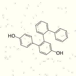 Oc1ccc(-c2ccc(O)cc2-c2ccccc2-c2ccccc2)cc1